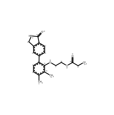 Cc1ccc(-c2ccc3c(c2)CNC3=O)c(OCCOC(=O)CC(F)(F)F)c1C